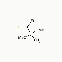 CCC(F)[Si](C)(OC)OC